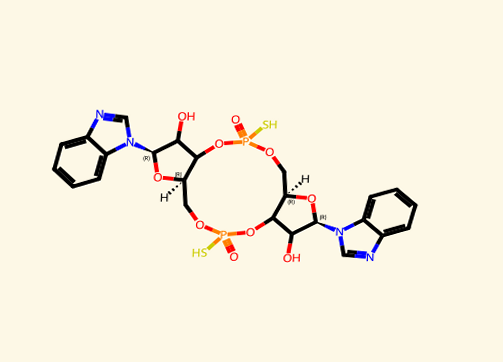 O=P1(S)OC[C@H]2O[C@@H](n3cnc4ccccc43)C(O)C2OP(=O)(S)OC[C@H]2O[C@@H](n3cnc4ccccc43)C(O)C2O1